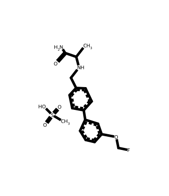 CC(NCc1ccc(-c2cccc(OCF)c2)cc1)C(N)=O.CS(=O)(=O)O